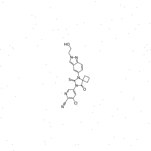 N#Cc1ncc(N2C(=O)C3(CCC3)N(c3ccc4nn(CCO)cc4c3)C2=S)cc1Cl